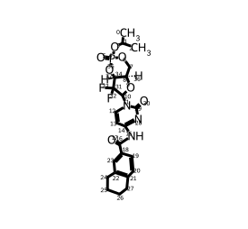 CC(C)OP1(=O)OC[C@H]2OC(n3ccc(NC(=O)c4ccc5c(c4)CCCC5)nc3=O)C(F)(F)[C@@H]2O1